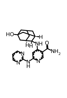 NC(=O)c1cnc(Nc2ncccn2)cc1N[C@@H]1[C@@H]2CC3C[C@H]1CC(O)(C3)C2